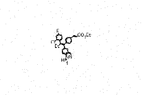 CCOC(=O)/C=C/c1ccc(/C(=C(/CC)c2ccc(F)cc2Cl)c2ccc3c(cnn3PI)c2)cc1